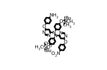 CC(C)(C)[Si](C)(C)Oc1ccc(N(c2cc(Oc3ccc(N)cc3)ncn2)N(c2ccc(O[Si](C)(C)C(C)(C)C)cc2)c2cc(Oc3ccc([N+](=O)[O-])cc3)ncn2)cc1